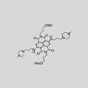 COCCCN1C(=O)c2cc(NCCCN3CCN(C)CC3)c3c4c(cc(NCCCN5CCN(C)CC5)c(c24)C1=O)C(=O)N(CCCOC)C3=O